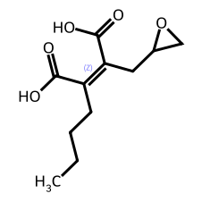 CCCC/C(C(=O)O)=C(\CC1CO1)C(=O)O